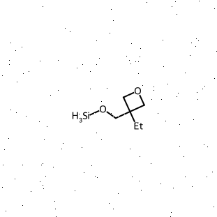 CCC1(CO[SiH3])COC1